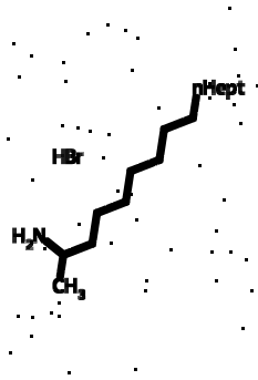 Br.CCCCCCCCCCCCCCC(C)N